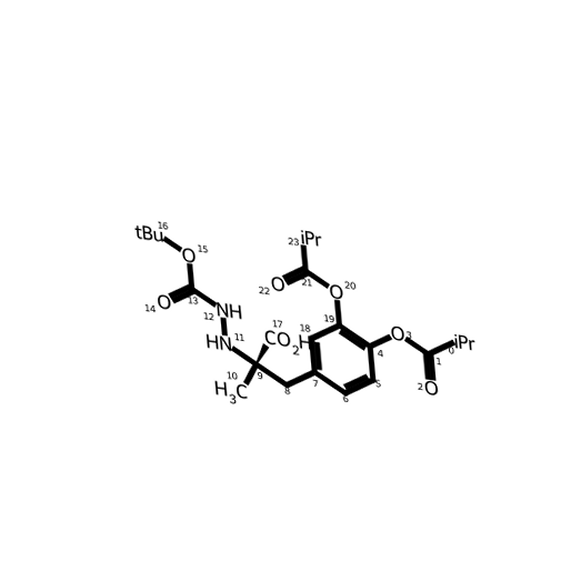 CC(C)C(=O)Oc1ccc(C[C@](C)(NNC(=O)OC(C)(C)C)C(=O)O)cc1OC(=O)C(C)C